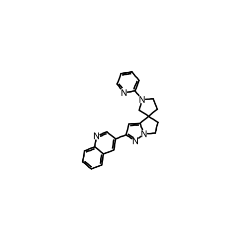 c1ccc(N2CCC3(CCn4nc(-c5cnc6ccccc6c5)cc43)C2)nc1